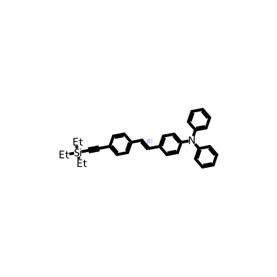 CC[Si](C#Cc1ccc(/C=C/c2ccc(N(c3ccccc3)c3ccccc3)cc2)cc1)(CC)CC